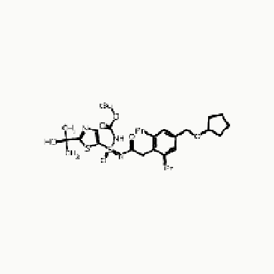 CC(C)c1cc(COC2CCCC2)cc(C(C)C)c1CC(=O)N=S(=O)(NC(=O)OC(C)(C)C)c1cnc(C(C)(C)O)s1